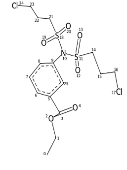 CCOC(=O)c1cccc(N(S(=O)(=O)CCCCl)S(=O)(=O)CCCCl)c1